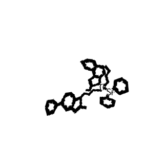 CCC[CH2][Ti]([CH2]CCCC1C(C)=Cc2cc(-c3ccccc3)ccc21)([CH]1C(CC)=Cc2c1ccc1ccccc21)[Si](c1ccccc1)c1ccccc1